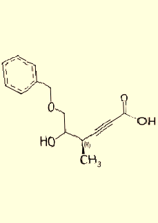 C[C@H](C#CC(=O)O)C(O)COCc1ccccc1